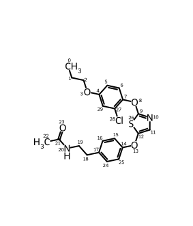 CCCOc1ccc(Oc2ncc(Oc3ccc(CCNC(C)=O)cc3)s2)c(Cl)c1